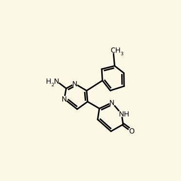 Cc1cccc(-c2nc(N)ncc2-c2ccc(=O)[nH]n2)c1